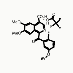 COc1cc2c(C(=O)O)cnc(C(=O)c3cc(OC(C)C)ccc3F)c2cc1OC.O=C(O)C(F)(F)F